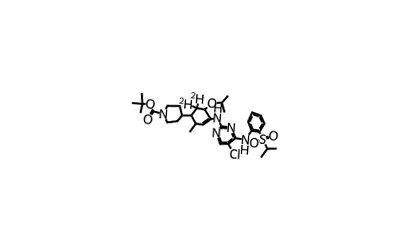 [2H]C1([2H])C(OC(C)C)C(Nc2ncc(Cl)c(Nc3ccccc3S(=O)(=O)C(C)C)n2)=CC(C)C1C1CCN(C(=O)OC(C)(C)C)CC1